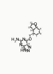 Nc1nc(OCc2cccc3occc23)c2nn[nH]c2n1